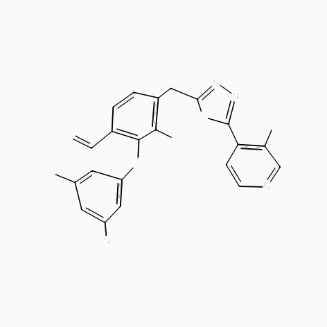 C=Cc1ccc(Cc2nnc(-c3ccncc3Cl)o2)c(F)c1Oc1cc(N)cc(Cl)c1